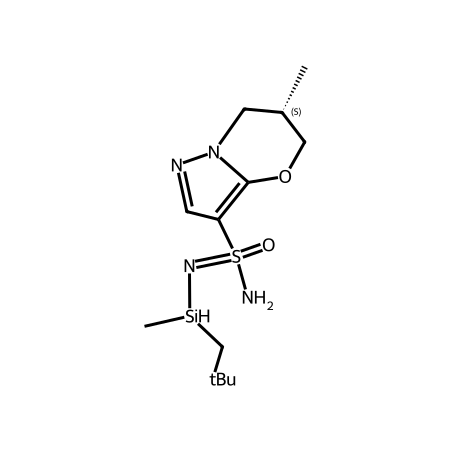 C[C@@H]1COc2c(S(N)(=O)=N[SiH](C)CC(C)(C)C)cnn2C1